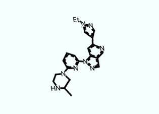 CCn1cc(-c2cc3c(cn2)cnn3-c2cccc(N3CCNC(C)C3)n2)cn1